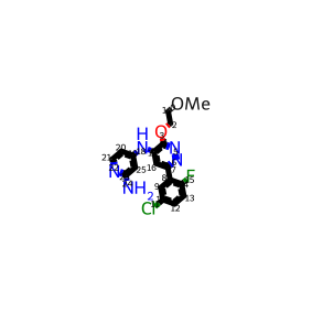 COCCOc1nnc(-c2cc(Cl)ccc2F)cc1Nc1ccnc(N)c1